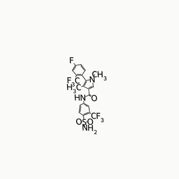 Cc1c(C(=O)Nc2ccc(S(N)(=O)=O)c(C(F)(F)F)c2)cn(C)c1-c1ccc(F)cc1C(F)(F)F